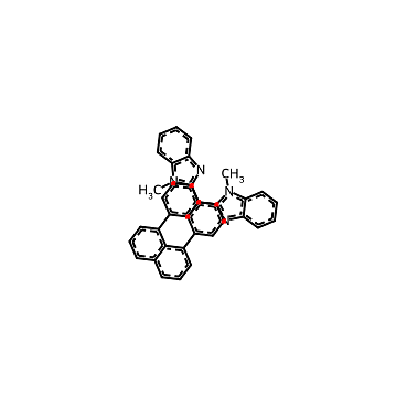 Cn1c(-c2cccc(-c3cccc4cccc(-c5cccc(-c6nc7ccccc7n6C)c5)c34)c2)nc2ccccc21